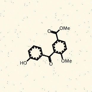 COC(=O)c1ccc(OC)c(C(=O)c2cccc(O)c2)c1